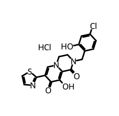 Cl.O=C1c2c(O)c(=O)c(-c3nccs3)cn2CCN1Cc1ccc(Cl)cc1O